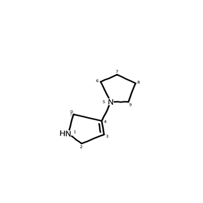 [C]1NCC=C1N1CCCC1